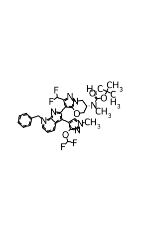 CN(C(=O)OC(C)(C)C)[C@@H]1COc2c(-c3nc4n(Cc5ccccc5)cccc-4c3-c3cn(C)nc3OC(F)F)c(C(F)F)nn2C1